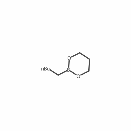 CCCCCB1OCCCO1